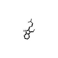 C\C=c1/c(=C\C=C/C(C)C)[nH]c2ccccc12